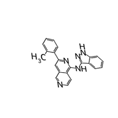 Cc1ccccc1-c1cc2cnccc2c(Nc2n[nH]c3ccccc23)n1